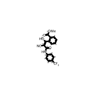 COC(=O)c1ccccc1C(O)=C(C#N)C(=O)Nc1ccc(C(F)(F)F)cc1